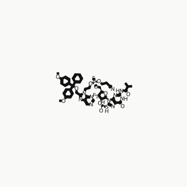 COc1ccc(C(OCc2nc3cncnc3n2CCOP(=S)(OCCC#N)OC[C@H]2O[C@@H](n3cnc4c(=O)[nH]c(NC(=O)C(C)C)nc43)[C@H](O[PH](=O)S)[C@@H]2F)(c2ccccc2)c2ccc(OC)cc2)cc1